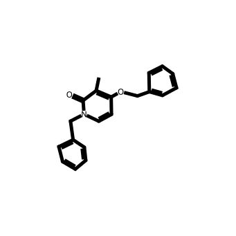 Cc1c(OCc2ccccc2)ccn(Cc2ccccc2)c1=O